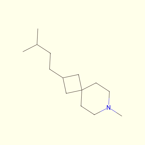 CC(C)CCC1CC2(CCN(C)CC2)C1